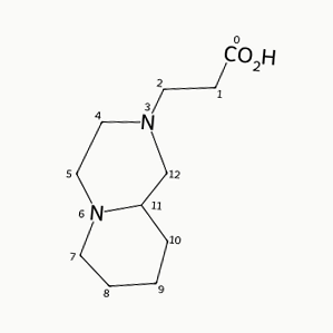 O=C(O)CCN1CCN2CCCCC2C1